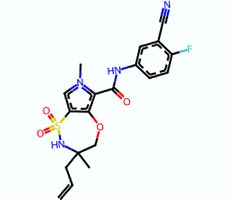 C=CCC1(C)COc2c(cn(C)c2C(=O)Nc2ccc(F)c(C#N)c2)S(=O)(=O)N1